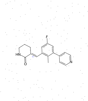 Cc1c(/C=C2\CCCNC2=O)cc(F)cc1-c1ccncc1